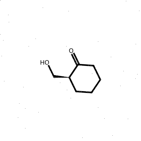 O=C1CCCC[C@H]1CO